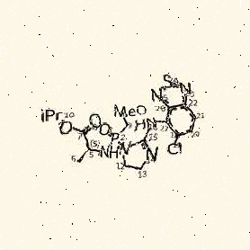 COCP(=O)(N[C@@H](C)C(=O)OC(C)C)N1CCN=C1Nc1c(Cl)ccc2nsnc12